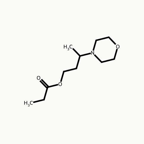 CCC(=O)OCCC(C)N1CCOCC1